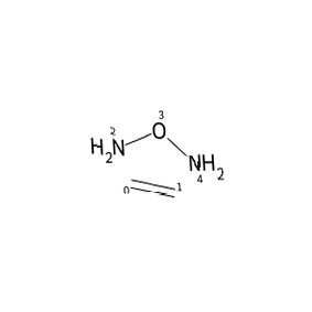 C=C.NON